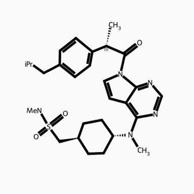 CNS(=O)(=O)C[C@H]1CC[C@H](N(C)c2ncnc3c2ccn3C(=O)[C@@H](C)c2ccc(CC(C)C)cc2)CC1